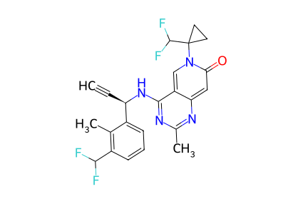 C#C[C@@H](Nc1nc(C)nc2cc(=O)n(C3(C(F)F)CC3)cc12)c1cccc(C(F)F)c1C